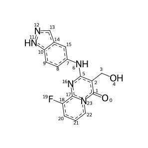 O=c1c(CO)c(Nc2ccc3[nH]ncc3c2)nc2c(F)cccn12